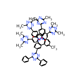 Cc1nc(C)nc(-c2ccc3c(c2)c2cc(-c4nc(C)nc(C)n4)ccc2n3-c2ccc(-c3nc(-c4ccccc4)nc(-c4ccccc4)n3)cc2-c2cc(C(F)(F)F)ccc2-n2c3ccc(-c4nc(C)nc(C)n4)cc3c3cc(-c4nc(C)nc(C)n4)ccc32)n1